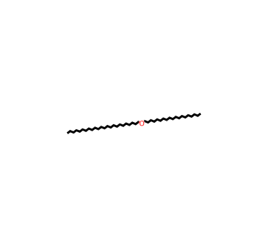 CCCCCCCCCCCCCCCCCCCCCCCCOCCCCCCCCCCCCCCCCCCC